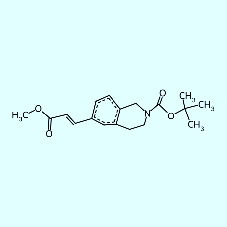 COC(=O)/C=C/c1ccc2c(c1)CCN(C(=O)OC(C)(C)C)C2